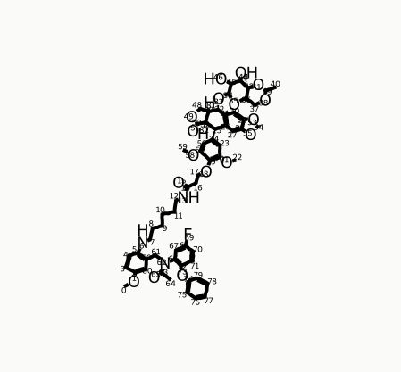 COc1ccc(NCCCCCCNC(=O)CCOc2c(OC)cc([C@@H]3c4cc5c(cc4[C@@H](OC4OC6COC(C)OC6C(O)C4O)[C@H]4COC(=O)[C@H]34)OCO5)cc2OC)c(CN(C(C)=O)c2cc(F)ccc2Oc2ccccc2)c1